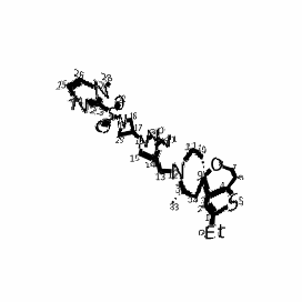 CCc1cc2c(s1)CCO[C@@]21CCN(Cc2cn(C3CN(S(=O)(=O)c4nccn4C)C3)nn2)[C@@H](C)C1